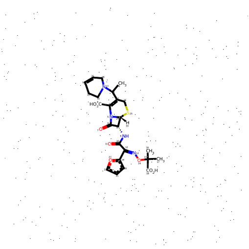 CC(C1=C(C(=O)O)N2C(=O)[C@@H](NC(=O)C(=NOC(C)(C)C(=O)O)c3ccco3)[C@H]2SC1)N1CC=CCC1